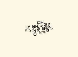 CC(C)CC(N)C(=O)N1CCN(S(=O)(=O)N(C)C)CC1.Cl